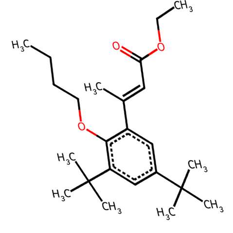 CCCCOc1c(/C(C)=C/C(=O)OCC)cc(C(C)(C)C)cc1C(C)(C)C